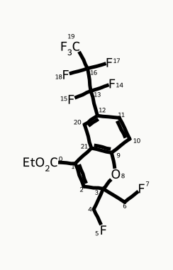 CCOC(=O)C1=CC(CF)(CF)Oc2ccc(C(F)(F)C(F)(F)C(F)(F)F)cc21